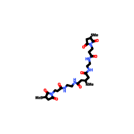 CNC(CC(=O)NCCNC(=O)CCN1C(=O)CC(SC)C1=O)CC(=O)NCCNC(=O)CCN1C(=O)CC(SC)C1=O